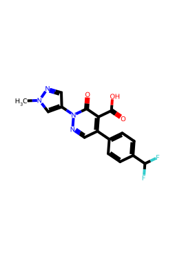 Cn1cc(-n2ncc(-c3ccc(C(F)F)cc3)c(C(=O)O)c2=O)cn1